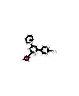 Nc1ncc(-c2cc(N3CC4CCCC3CC4)nc(N3CC4CC3C4)n2)cn1